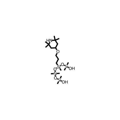 CC1(C)CC(OCCC[Si](C)(O[Si](C)(C)O)O[Si](C)(C)O[Si](C)(C)O)CC(C)(C)N1